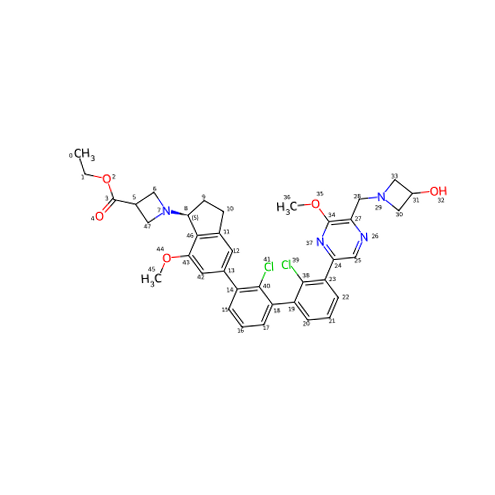 CCOC(=O)C1CN([C@H]2CCc3cc(-c4cccc(-c5cccc(-c6cnc(CN7CC(O)C7)c(OC)n6)c5Cl)c4Cl)cc(OC)c32)C1